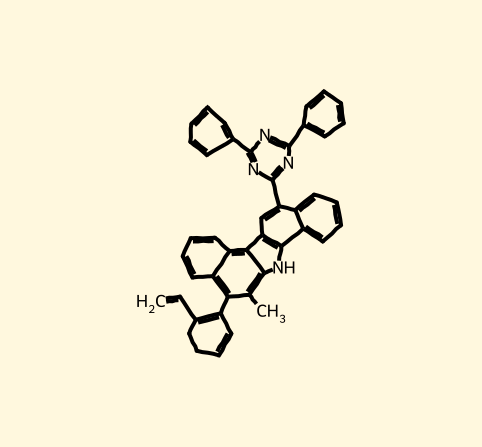 C=CC1=C(c2c(C)c3[nH]c4c5ccccc5c(-c5nc(-c6ccccc6)nc(-c6ccccc6)n5)cc4c3c3ccccc23)C=CCC1